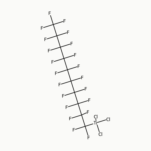 FC(F)(F)C(F)(F)C(F)(F)C(F)(F)C(F)(F)C(F)(F)C(F)(F)C(F)(F)C(F)(F)[C](F)(F)[Ti]([Cl])([Cl])[Cl]